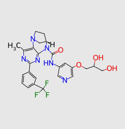 Cc1nc(-c2cccc(C(F)(F)F)c2)nc2c1N1CC[C@@H](C1)N2C(=O)Nc1cncc(OCC(O)CO)c1